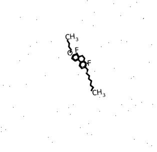 CCCCCCCCCc1ccc2c(c1F)CCc1c-2ccc(OCCCCC)c1F